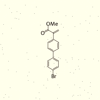 C=C(C(=O)OC)c1ccc(-c2ccc(Br)cc2)cc1